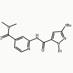 CCn1nc(C(C)(C)C)cc1C(=O)Nc1cc(C(=O)N(C)C)ccn1